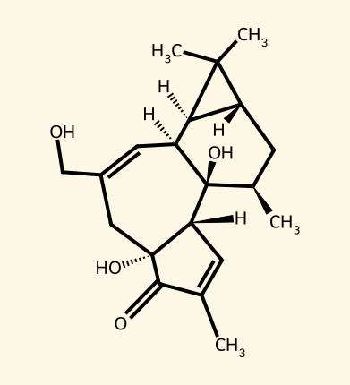 CC1=C[C@H]2[C@@]3(O)[C@H](C)C[C@@H]4[C@@H]([C@@H]3C=C(CO)C[C@]2(O)C1=O)C4(C)C